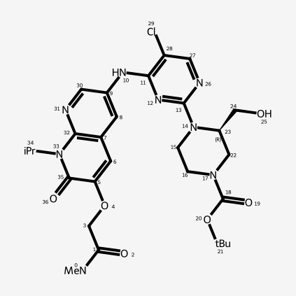 CNC(=O)COc1cc2cc(Nc3nc(N4CCN(C(=O)OC(C)(C)C)C[C@@H]4CO)ncc3Cl)cnc2n(C(C)C)c1=O